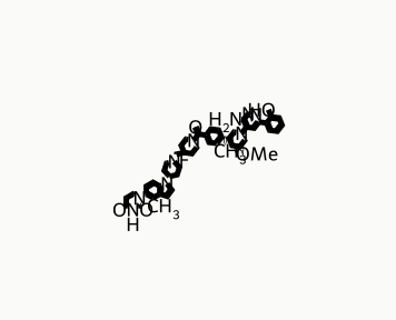 CO[C@@H]1C[C@H](c2ccc(C(=O)N3CCC(F)(CN4CCC(n5ccc6c(C)c(N7CCC(=O)NC7=O)ccc65)CC4)CC3)cc2C)CN(c2cc(-c3ccccc3O)nnc2N)C1